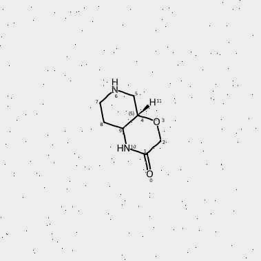 O=C1CO[C@H]2CNCCC2N1